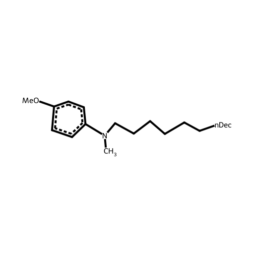 CCCCCCCCCCCCCCCCN(C)c1ccc(OC)cc1